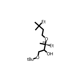 CCC(C)(C)CCO[C@](C)(CC)C(O)COC(C)(C)C